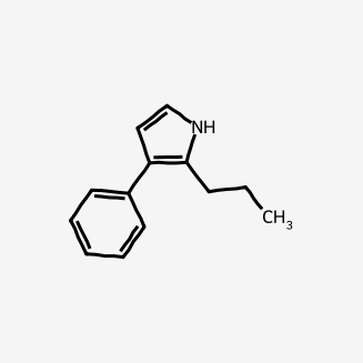 CCCc1[nH]ccc1-c1ccccc1